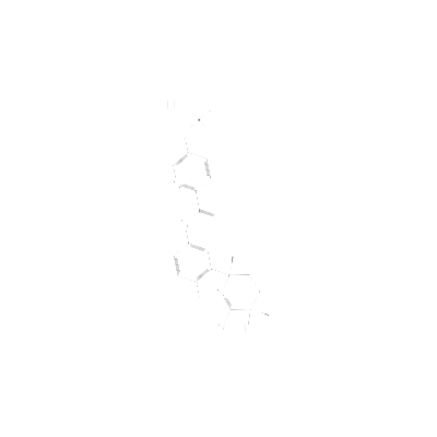 BC(B)(B)Oc1ccc(C(=O)Nc2ccc(F)c([C@@]3(C)N=C(N)[C@@](C)(F)C[C@H]3F)c2)nc1